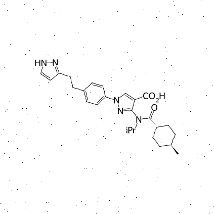 CC(C)N(c1nn(-c2ccc(CCc3cc[nH]n3)cc2)cc1C(=O)O)C(=O)[C@H]1CC[C@H](C)CC1